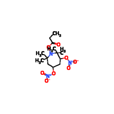 CCC(=O)ON1C(C)(C)CC(O[N+](=O)[O-])CC(O[N+](=O)[O-])C1(C)C